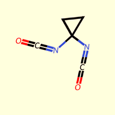 O=C=NC1(N=C=O)CC1